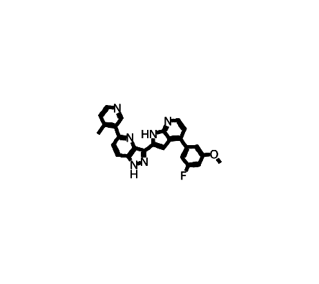 COc1cc(F)cc(-c2ccnc3[nH]c(-c4n[nH]c5ccc(-c6cnccc6C)nc45)cc23)c1